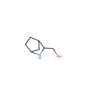 OCC1NC2CCC1C2